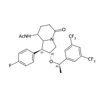 CC(=O)NC1CCC(=O)N2C[C@H](O[C@H](C)c3cc(C(F)(F)F)cc(C(F)(F)F)c3)[C@@H](c3ccc(F)cc3)C12